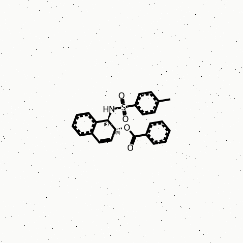 Cc1ccc(S(=O)(=O)N[C@@H]2c3ccccc3C=C[C@H]2OC(=O)c2ccccc2)cc1